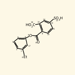 CCc1cccc(OC(=O)c2ccc(S(=O)(=O)O)cc2C(=O)O)c1